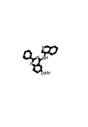 COc1ccc2nc(-c3ccccc3)nc(Nc3cncc4ccccc34)c2c1